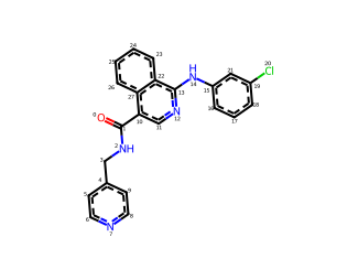 O=C(NCc1ccncc1)c1cnc(Nc2cccc(Cl)c2)c2ccccc12